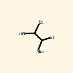 CCCCC(CC)C([NH])CC